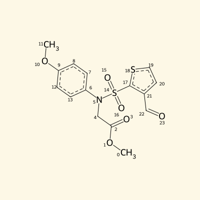 COC(=O)CN(c1ccc(OC)cc1)S(=O)(=O)c1sccc1C=O